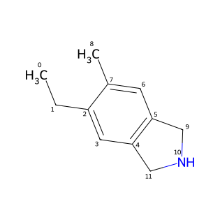 CCc1cc2c(cc1C)CNC2